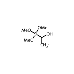 [CH2]C(O)[Si](OC)(OC)OC